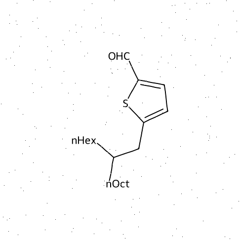 CCCCCCCCC(CCCCCC)Cc1ccc(C=O)s1